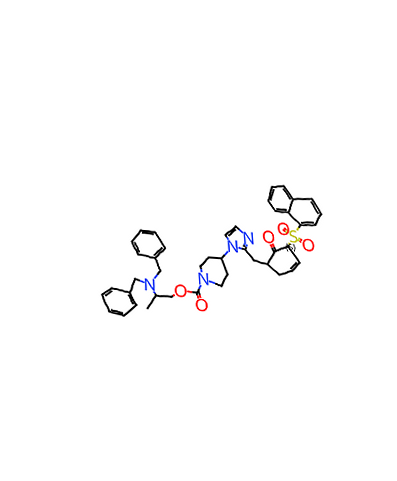 CC(COC(=O)N1CCC(n2ccnc2CC2CC=C[C@H](S(=O)(=O)c3cccc4ccccc34)C2=O)CC1)N(Cc1ccccc1)Cc1ccccc1